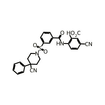 N#Cc1ccc(NC(=O)c2cccc(S(=O)(=O)N3CCC(C#N)(c4ccccc4)CC3)c2)c(C(=O)O)c1